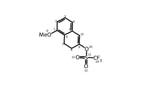 COc1cccc2c1CCC(OS(=O)(=O)C(F)(F)F)=C2